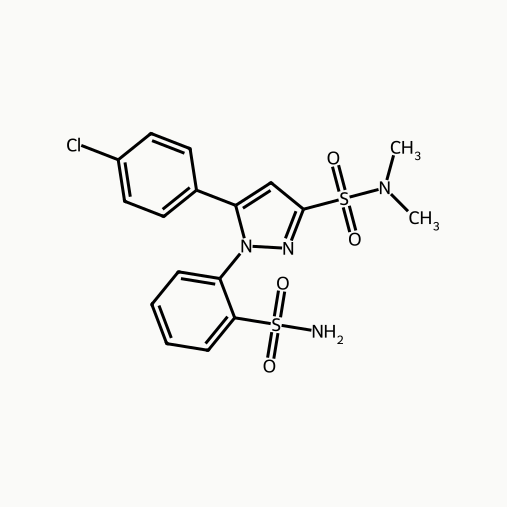 CN(C)S(=O)(=O)c1cc(-c2ccc(Cl)cc2)n(-c2ccccc2S(N)(=O)=O)n1